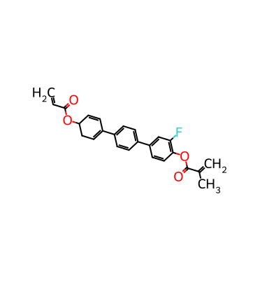 C=CC(=O)OC1C=CC(c2ccc(-c3ccc(OC(=O)C(=C)C)c(F)c3)cc2)=CC1